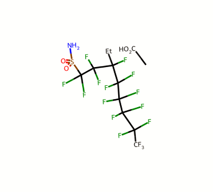 CC(=O)O.CCC(F)(C(F)(F)C(F)(F)C(F)(F)C(F)(F)C(F)(F)F)C(F)(F)C(F)(F)S(N)(=O)=O